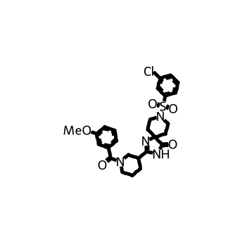 COc1cccc(C(=O)N2CCCC(C3=NC4(CCN(S(=O)(=O)c5cccc(Cl)c5)CC4)C(=O)N3)C2)c1